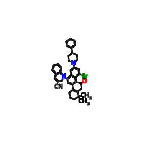 CC1(C)CC=CC2=C1CC(=O)c1c2ccc2cc(N3CCC(c4ccccc4)CC3)cc(Br)c12.N#Cc1cnc2ccccc2c1